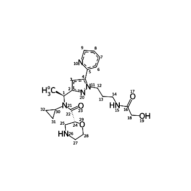 C[C@@H](c1cc(-c2ccccn2)n(CCCNC(=O)CO)n1)N(C(=O)[C@H]1CNCCO1)C1CC1